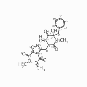 COC(=O)c1onc(CC2C(=O)N(C)C(C)(Cc3ccccc3)C(=O)N2C)c1C(=O)OC